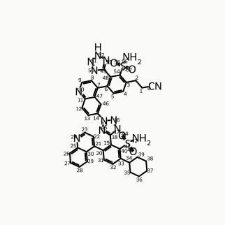 N#CCCc1ccc(-c2ccnc3ccc(-n4nnc(-c5c(-c6ccnc7ccccc67)ccc(C6CCCCC6)c5S(N)(=O)=O)n4)cc23)c(-c2nn[nH]n2)c1S(N)(=O)=O